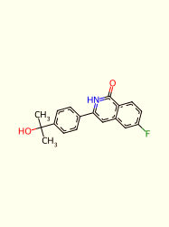 CC(C)(O)c1ccc(-c2cc3cc(F)ccc3c(=O)[nH]2)cc1